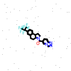 O=C(c1ccc2nncn2c1)N1CCC2c3ccc(C(F)(C(F)(F)F)C(F)(F)F)cc3CCC21